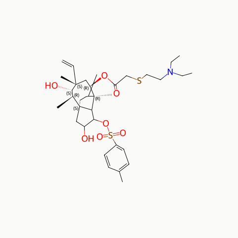 C=C[C@]1(C)C[C@@H](OC(=O)CSCCN(CC)CC)[C@]2(C)C(C)CC[C@]3(CC(O)C(OS(=O)(=O)c4ccc(C)cc4)C32)[C@@H](C)[C@@H]1O